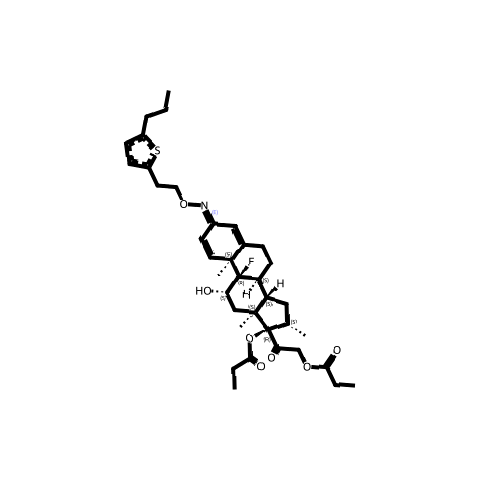 CCCc1ccc(CCO/N=C2\C=C[C@@]3(C)C(=C2)CC[C@H]2[C@@H]4C[C@H](C)[C@](OC(=O)CC)(C(=O)COC(=O)CC)[C@@]4(C)C[C@H](O)[C@@]23F)s1